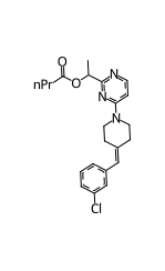 CCCC(=O)OC(C)c1nccc(N2CCC(=Cc3cccc(Cl)c3)CC2)n1